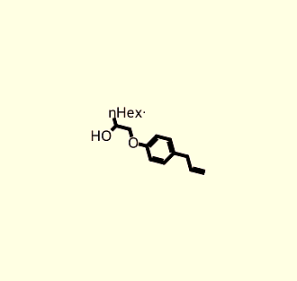 C=CCc1ccc(OCC(O)[CH]CCCCC)cc1